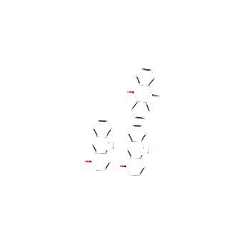 O=C1CC=Cc2nc3ccccc3cc21.O=C1CC=Cc2nc3ccccc3cc21.O=C1c2ccccc2C(=O)c2ccccc21